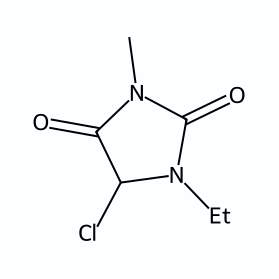 CCN1C(=O)N(C)C(=O)C1Cl